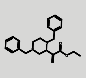 C=C(C(=O)OCC)C1CN(Cc2ccccc2)CCN1Cc1ccccc1